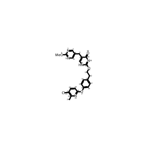 COc1ncc(Cc2c[nH]c(OCCc3ccc(Oc4ccc(Cl)c(C)n4)cc3)nc2=O)cn1